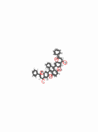 O=c1cc(-c2ccccc2)oc2cc3c(cc12)Oc1ccc2c4c(c5ccccc5c-3c14)-c1cc3oc(-c4ccccc4)cc(=O)c3cc1O2